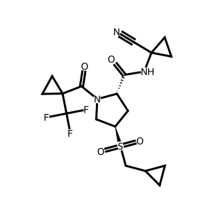 N#CC1(NC(=O)[C@@H]2C[C@@H](S(=O)(=O)CC3CC3)CN2C(=O)C2(C(F)(F)F)CC2)CC1